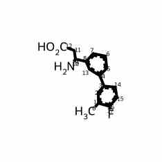 Cc1cc(-c2cccc(C(N)CC(=O)O)c2)ccc1F